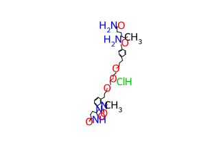 C[C@@H](OCc1ccc(CCCOCCOCCOCCCc2cccc3c2n(C)c(=O)n3C2CCC(=O)NC2=O)cc1)[C@@H](N)CCC(N)=O.Cl